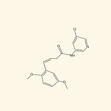 COc1ccc(OC)c(/C=C\CC(=O)Nc2cncc(Cl)c2)c1